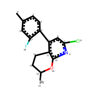 Cc1ccc(-c2cc(Cl)nc3c2CCC(C(C)C)O3)c(F)c1